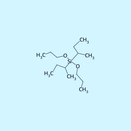 CCCO[Si](OCCC)(C(C)CC)C(C)CC